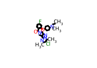 CCCN(C)[C@H]1CC[C@@H](Oc2cc(F)ccc2C(=O)N2Cc3nn4c(C)c(Cl)c(C)nc4c3C2)CC1